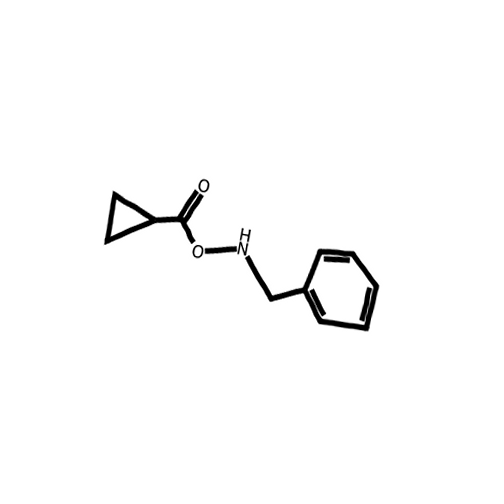 O=C(ONCc1ccccc1)C1CC1